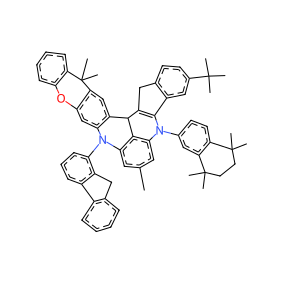 Cc1cc2c3c(c1)N(c1cccc4c1Cc1ccccc1-4)c1cc4c(cc1C3C1=C(c3cc(C(C)(C)C)ccc3C1)N2c1ccc2c(c1)C(C)(C)CCC2(C)C)C(C)(C)c1ccccc1O4